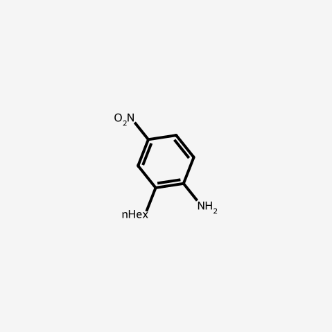 CCCCCCc1cc([N+](=O)[O-])ccc1N